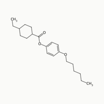 CCCCCCOc1ccc(OC(=O)C2CCC(CC)CC2)cc1